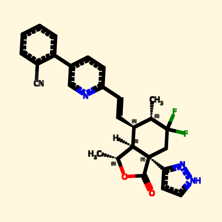 C[C@H]1OC(=O)[C@]2(c3cc[nH]n3)CC(F)(F)[C@@H](C)[C@H](C=Cc3ccc(-c4ccccc4C#N)cn3)[C@H]12